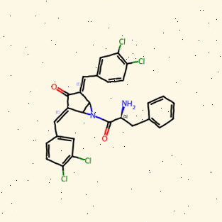 N[C@@H](Cc1ccccc1)C(=O)N1C2/C(=C\c3ccc(Cl)c(Cl)c3)C(=O)/C(=C/c3ccc(Cl)c(Cl)c3)C21